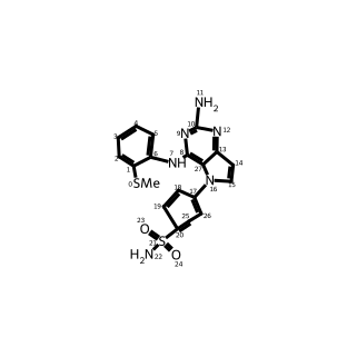 CSc1ccccc1Nc1nc(N)nc2ccn(-c3ccc(S(N)(=O)=O)cc3)c12